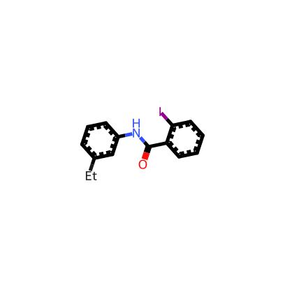 CCc1cccc(NC(=O)c2ccccc2I)c1